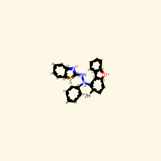 [3H]c1ccc2oc3ccccc3c2c1N(Nc1nc2ccccc2s1)c1ccccc1